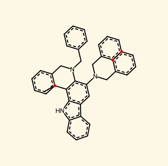 CCc1c(N(Cc2ccccc2)Cc2ccccc2)c(N(Cc2ccccc2)Cc2ccccc2)cc2c1[nH]c1ccccc12